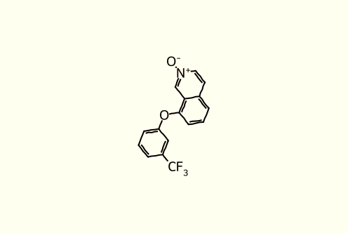 [O-][n+]1ccc2cccc(Oc3cccc(C(F)(F)F)c3)c2c1